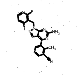 Cc1c(C#N)cccc1-c1nc(N)nc2c1cnn2Cc1c(F)cccc1I